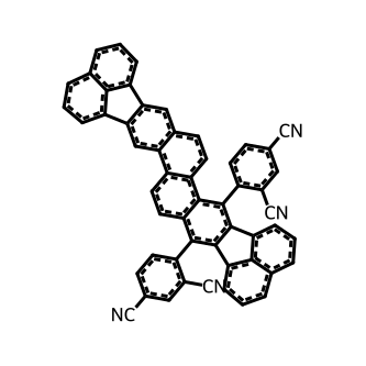 N#Cc1ccc(-c2c3c(c(-c4ccc(C#N)cc4C#N)c4c2ccc2c5cc6c(cc5ccc24)-c2cccc4cccc-6c24)-c2cccc4cccc-3c24)c(C#N)c1